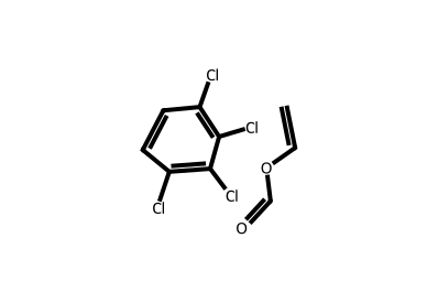 C=COC=O.Clc1ccc(Cl)c(Cl)c1Cl